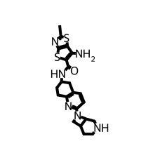 Cc1nc2sc(C(=O)NC3CCc4nc(N5CC6CCNCC65)ccc4C3)c(N)c2s1